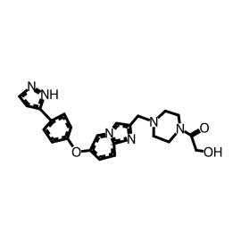 O=C(CO)N1CCN(Cc2cn3cc(Oc4ccc(-c5ccn[nH]5)cc4)ccc3n2)CC1